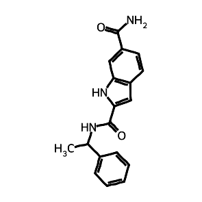 CC(NC(=O)c1cc2ccc(C(N)=O)cc2[nH]1)c1ccccc1